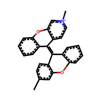 Cc1ccc2c(c1)Oc1ccccc1/C2=C1/c2ccccc2Oc2c[n+](C)ccc21